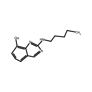 CCCCCNc1ncc2cccc(O)c2n1